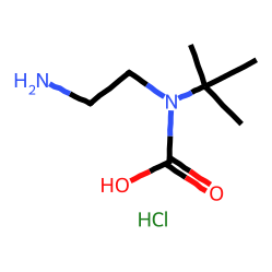 CC(C)(C)N(CCN)C(=O)O.Cl